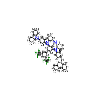 N#Cc1c(-n2c3ccccc3c3cc(CC4Cc5ccccc5-c5ccccc54)ccc32)cc(-c2cc(C(F)(F)F)cc(C(F)(F)F)c2)cc1-n1c2ccccc2c2cc(-n3c4ccccc4c4ccccc43)ccc21